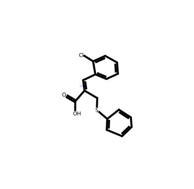 O=C(O)/C(=C/c1ccccc1Cl)CSc1ccccc1